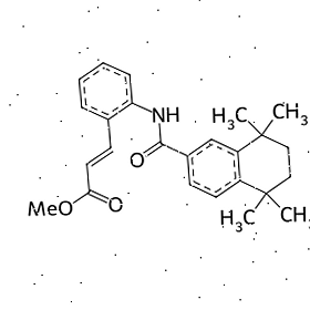 COC(=O)C=Cc1ccccc1NC(=O)c1ccc2c(c1)C(C)(C)CCC2(C)C